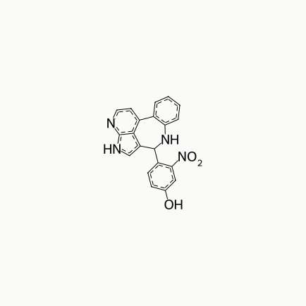 O=[N+]([O-])c1cc(O)ccc1C1Nc2ccccc2-c2ccnc3[nH]cc1c23